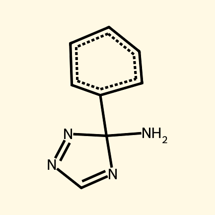 NC1(c2ccccc2)N=CN=N1